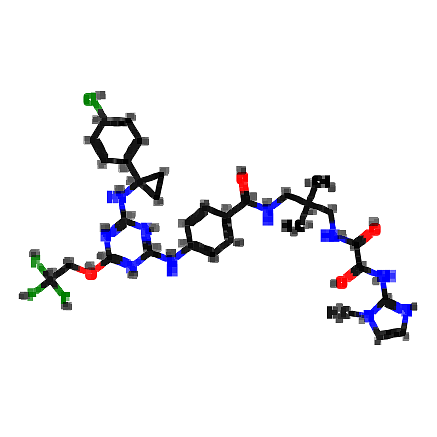 Cn1ccnc1NC(=O)C(=O)NCC(C)(C)CNC(=O)c1ccc(Nc2nc(NC3(c4ccc(Cl)cc4)CC3)nc(OCC(F)(F)F)n2)cc1